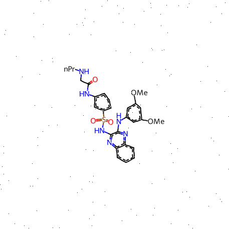 CCCNCC(=O)Nc1cccc(S(=O)(=O)Nc2nc3ccccc3nc2Nc2cc(OC)cc(OC)c2)c1